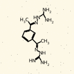 C/C(=N\NC(=N)N)c1cccc(/C(C)=N/NC(N)N)c1